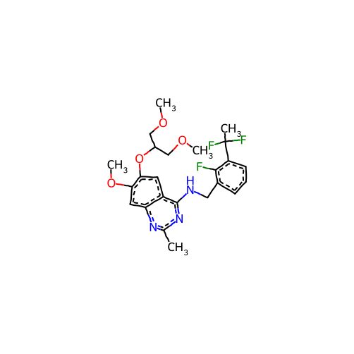 COCC(COC)Oc1cc2c(NCc3cccc(C(C)(F)F)c3F)nc(C)nc2cc1OC